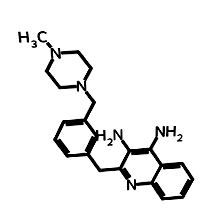 CN1CCN(Cc2cccc(Cc3nc4ccccc4c(N)c3N)c2)CC1